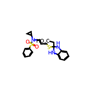 O=C(O)CC1(SCCCN(C2CC2)S(=O)(=O)c2ccccc2)Nc2ccccc2N1